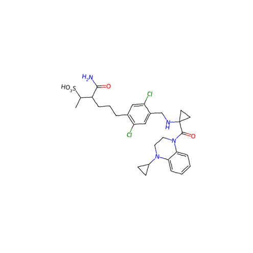 CC(C(CCCc1cc(Cl)c(CNC2(C(=O)N3CCN(C4CC4)c4ccccc43)CC2)cc1Cl)C(N)=O)S(=O)(=O)O